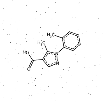 Cc1ccccc1-n1ncc(C(=O)O)c1C